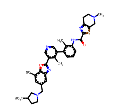 Cc1c(NC(=O)c2nc3c(s2)CN(C)CC3)cccc1-c1cncc(-c2nc3cc(CN4CCC(C(=O)O)C4)cc(C#N)c3o2)c1C